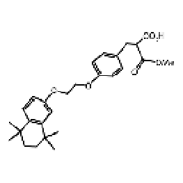 COC(=O)C(Cc1ccc(OCCOc2ccc3c(c2)C(C)(C)CCC3(C)C)cc1)C(=O)O